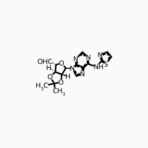 CC1(C)O[C@@H]2[C@@H](O1)[C@H](n1cnc3c(Nc4nccs4)ncnc31)O[C@H]2C=O